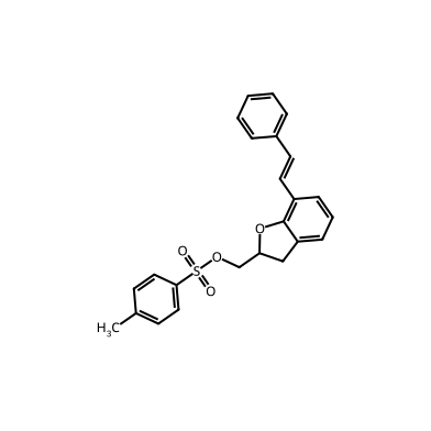 Cc1ccc(S(=O)(=O)OCC2Cc3cccc(C=Cc4ccccc4)c3O2)cc1